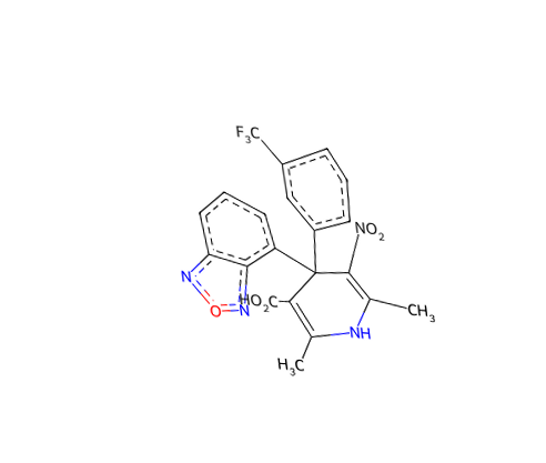 CC1=C(C(=O)O)C(c2cccc(C(F)(F)F)c2)(c2cccc3nonc23)C([N+](=O)[O-])=C(C)N1